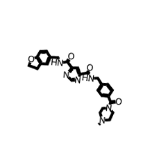 CN1CCN(C(=O)c2ccc(CNC(=O)c3cc(C(=O)NCc4ccc5c(c4)CCO5)ncn3)cc2)CC1